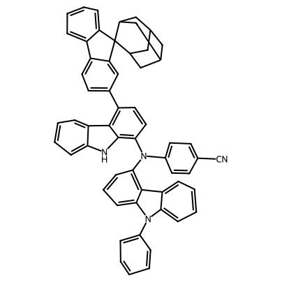 N#Cc1ccc(N(c2ccc(-c3ccc4c(c3)C3(c5ccccc5-4)C4CC5CC(C4)CC3C5)c3c2[nH]c2ccccc23)c2cccc3c2c2ccccc2n3-c2ccccc2)cc1